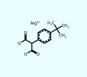 CC(C)(C)c1ccc(C(C(=O)[O-])C(=O)[O-])cc1.[Mg+2]